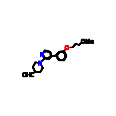 COCCCOc1cccc(-c2ccnc(N3CCC(C=O)CC3)c2)c1